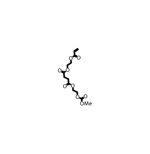 C=CC(=O)OCCOC(=O)CCC(=O)OCCOC(=O)OC